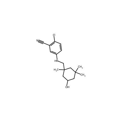 CC1(C)CC(O)CC(C)(CNc2ccc(Cl)c(C#N)c2)C1